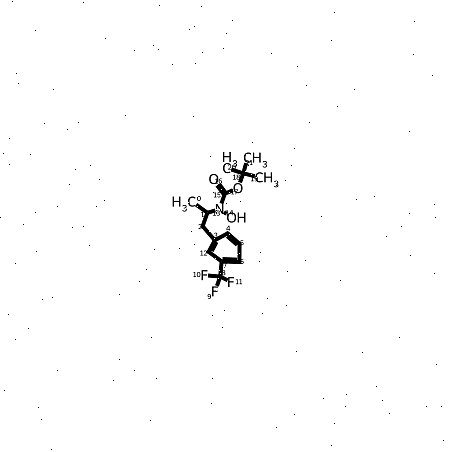 CC(Cc1cccc(C(F)(F)F)c1)N(O)C(=O)OC(C)(C)C